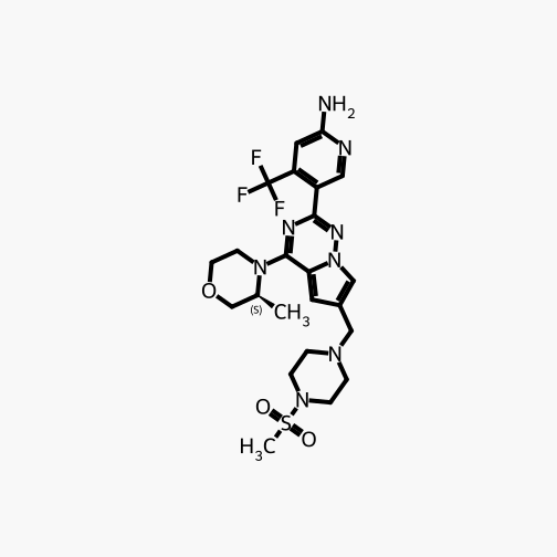 C[C@H]1COCCN1c1nc(-c2cnc(N)cc2C(F)(F)F)nn2cc(CN3CCN(S(C)(=O)=O)CC3)cc12